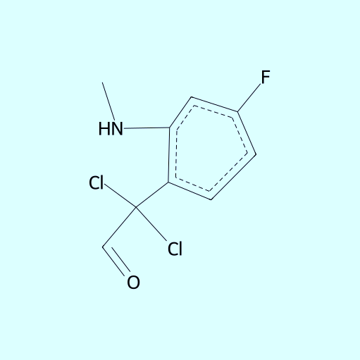 CNc1cc(F)ccc1C(Cl)(Cl)C=O